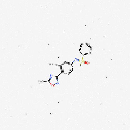 COc1cc(N=S(C)(=O)c2ccccc2)ccc1-c1noc(C(F)(F)F)n1